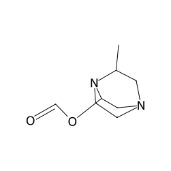 CC1CN2CCN1C(OC=O)C2